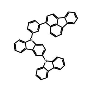 c1cc(-c2ccc3c4c(cccc24)-c2ccccc2-3)cc(-n2c3ccccc3c3cc(-n4c5ccccc5c5ccccc54)ccc32)c1